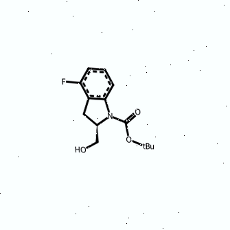 CC(C)(C)OC(=O)N1c2cccc(F)c2C[C@@H]1CO